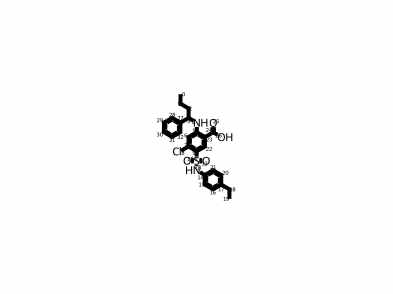 CCCC(Nc1cc(Cl)c(S(=O)(=O)Nc2ccc(CC)cc2)cc1C(=O)O)c1ccccc1